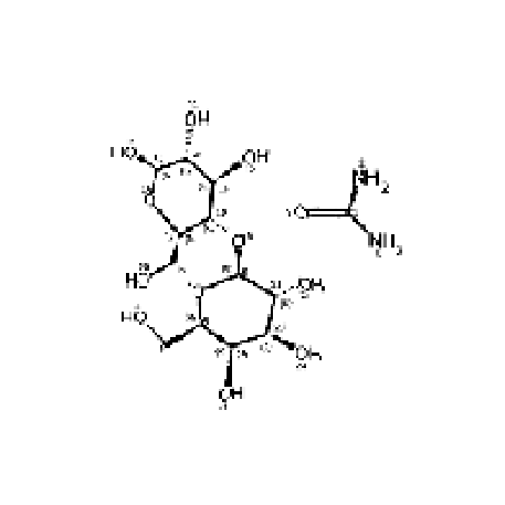 NC(N)=O.OC[C@H]1O[C@@H](O[C@H]2[C@H](O)[C@@H](O)[C@H](O)O[C@@H]2CO)[C@H](O)[C@@H](O)[C@H]1O